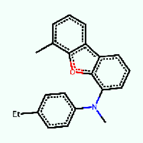 CCc1ccc(N(C)c2cccc3c2oc2c(C)cccc23)cc1